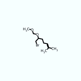 COCOC(CBr)CCC=C(C)C